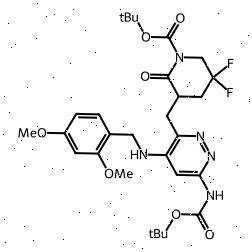 COc1ccc(CNc2cc(NC(=O)OC(C)(C)C)nnc2CC2CC(F)(F)CN(C(=O)OC(C)(C)C)C2=O)c(OC)c1